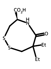 CCC1(CC)CSSC[C@@H](C(=O)O)NC1=O